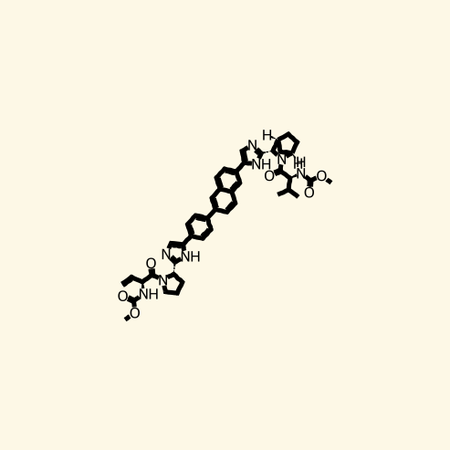 C=C[C@H](NC(=O)OC)C(=O)N1CCC[C@H]1c1ncc(-c2ccc(-c3ccc4cc(-c5cnc([C@@H]6[C@H]7CC[C@H](C7)N6C(=O)[C@@H](NC(=O)OC)C(C)C)[nH]5)ccc4c3)cc2)[nH]1